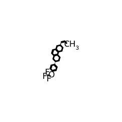 C/C=C\[C@H]1CCc2c(ccc3c2CC[C@H](c2ccc(OC(F)(F)F)cc2)C3)C1